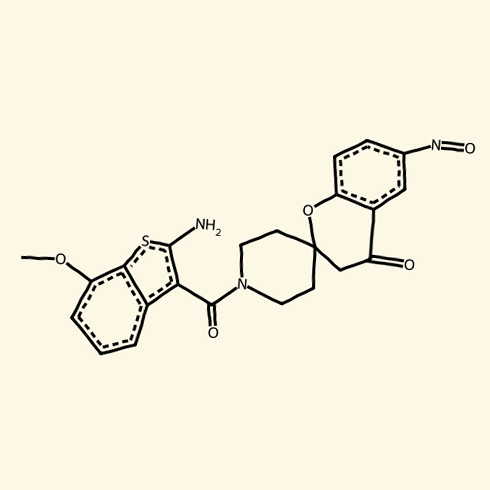 COc1cccc2c(C(=O)N3CCC4(CC3)CC(=O)c3cc(N=O)ccc3O4)c(N)sc12